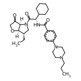 CCCN1CCN(c2ccc(C(=O)N[C@H](C(=O)N3C[C@@H](CC)[C@H]4OCC(=O)[C@H]43)C3CCCCC3)cc2)CC1